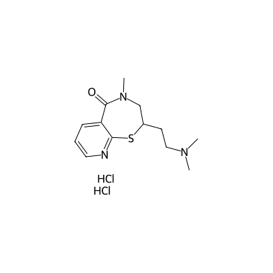 CN(C)CCC1CN(C)C(=O)c2cccnc2S1.Cl.Cl